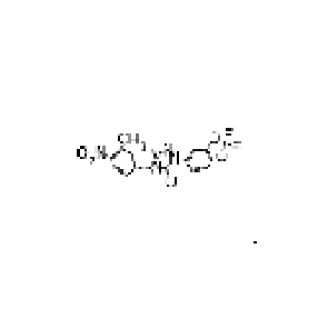 Cc1cc(Cn2nnn(-c3ccc4c(c3)OC(F)(F)O4)c2=O)ccc1[N+](=O)[O-]